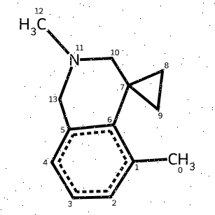 Cc1cccc2c1C1(CC1)CN(C)C2